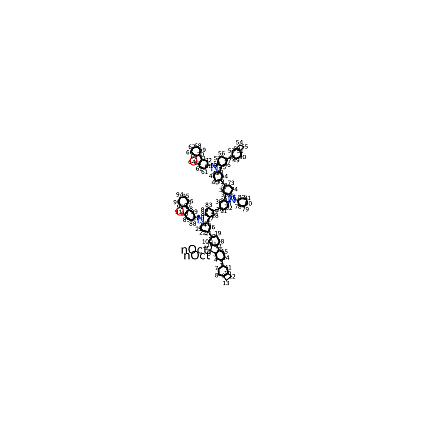 CCCCCCCCC1(CCCCCCCC)c2cc(-c3ccc4c(c3)CC4)ccc2-c2ccc(-c3ccc4c(c3)c3cc(-c5ccc6c(c5)c5cc(-c7ccc8c(c7)c7cc(-c9ccc%10c(c9)CC%10)ccc7n8-c7ccc8oc9ccccc9c8c7)ccc5n6-c5ccccc5)ccc3n4-c3ccc4oc5ccccc5c4c3)cc21